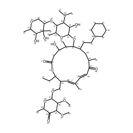 CCC1OC(=O)CC(O)C(C)C(OC2OC(C)C(OC3COC(C)C(O)C3(C)O)C(N(C)C)C2O)C(CCN2CCCCC2)CC(C)C(=O)/C=C/C(C)=C/C1COC1OC(C)C(=O)C(OC)C1OC